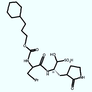 CC(C)CC(NC(=O)OCCCC1CCCCC1)C(=O)N[C@@H](CC1CCNC1=O)C(O)S(=O)(=O)O